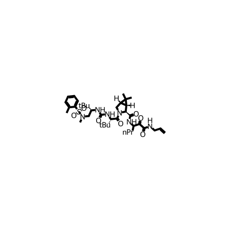 C=CCNC(=O)C(=O)C(CCC)NC(=O)[C@@H]1[C@@H]2[C@H](CN1C(=O)[C@@H](NC(=O)N[C@H](CN(C)S(=O)(=O)c1ccccc1C)C(C)(C)C)C(C)(C)C)C2(C)C